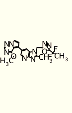 COc1ncnn2ccc(-c3cnc4nc(C)n(Cc5nnc(C(C)(F)F)o5)c4c3)c12